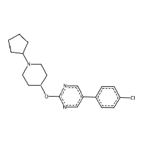 Clc1ccc(-c2cnc(OC3CCN(C4CCCC4)CC3)nc2)cc1